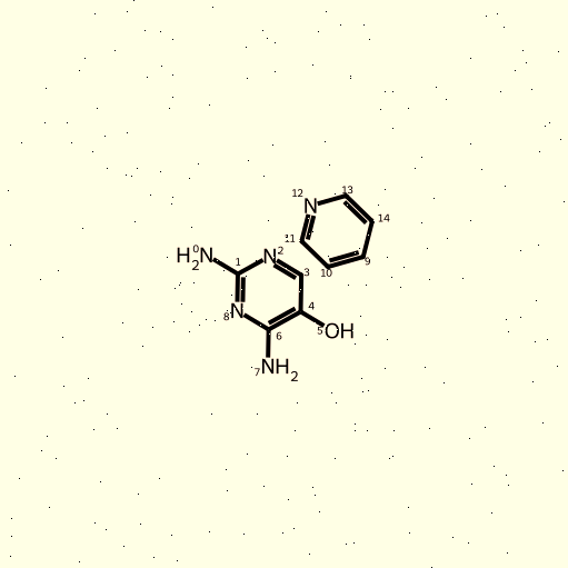 Nc1ncc(O)c(N)n1.c1ccncc1